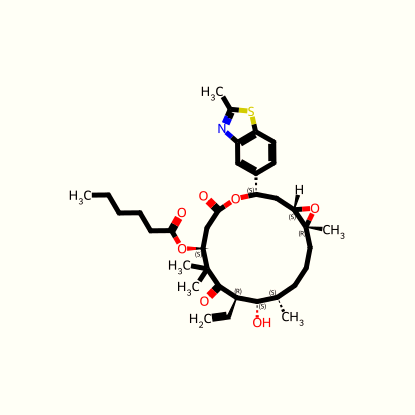 C=C[C@H]1C(=O)C(C)(C)[C@@H](OC(=O)CCCCC)CC(=O)O[C@H](c2ccc3sc(C)nc3c2)C[C@@H]2O[C@]2(C)CCC[C@H](C)[C@@H]1O